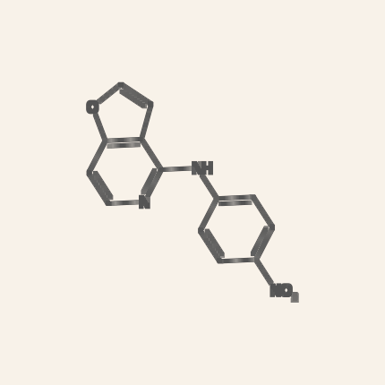 O=[N+]([O-])c1ccc(Nc2nccc3occc23)cc1